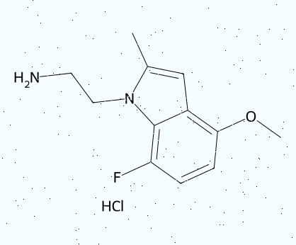 COc1ccc(F)c2c1cc(C)n2CCN.Cl